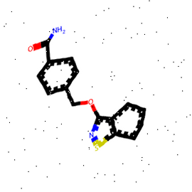 NC(=O)c1ccc(COc2nsc3ccccc23)cc1